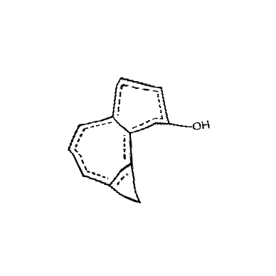 Oc1ccc2cccc3c(c1-2)C3